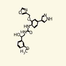 COc1cccc(C(O)CNC(=O)Nc2ccc(-c3cn[nH]c3)cc2OCc2cocn2)c1